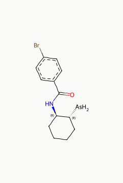 O=C(N[C@@H]1CCCC[C@H]1[AsH2])c1ccc(Br)cc1